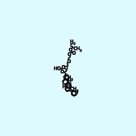 CC(C)OC(=O)OCCOCCOCC(OC(=O)O)[C@H]1CC[C@@]2(C)C(=CC[C@@H]3[C@@H]2CC[C@]2(C)C(c4cccnc4)=CC[C@@H]32)C1